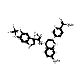 COC(=O)c1ccc([C@H]2C[C@@H](NC(=O)[C@@]3(C)COc4cc5c(cc43)OC(F)(F)O5)c3ccc(OC)cc3O2)cn1